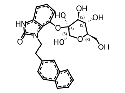 O=c1[nH]c2cccc(O[C@]3(O)[C@@H](O)O[C@H](CO)[C@@H](O)[C@@H]3O)c2n1CCc1ccc2ccccc2c1